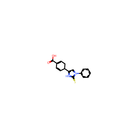 O=C(O)C1=CCC(c2cn(-c3ccccc3)c(=S)[nH]2)C=C1